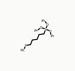 CC(C)O[Si](CCCCCSC#N)(OC(C)C)OC(C)C